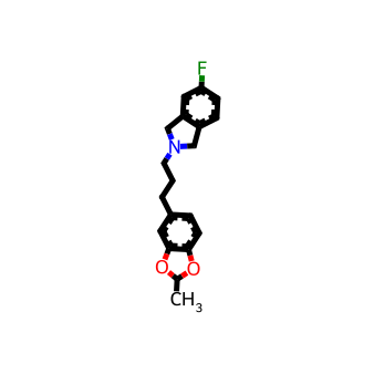 CC1Oc2ccc(CCCN3Cc4ccc(F)cc4C3)cc2O1